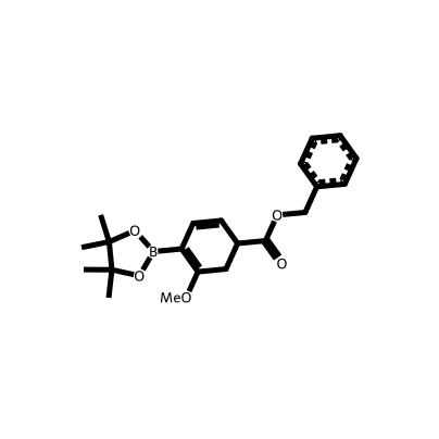 COC1=C(B2OC(C)(C)C(C)(C)O2)C=CC(C(=O)OCc2ccccc2)C1